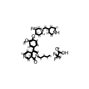 CCCCn1cc(-c2ccc(O[C@H]3CCN(CC4CCNCC4)C[C@@H]3F)c(OC)c2)c2ccncc2c1=O.O=C(O)C(F)(F)F